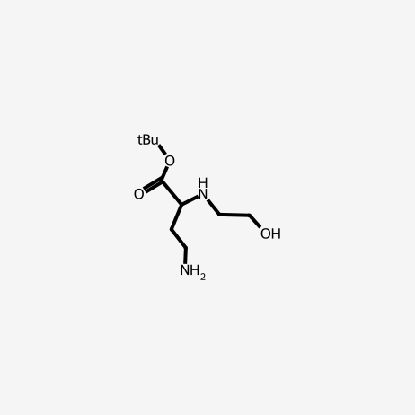 CC(C)(C)OC(=O)C(CCN)NCCO